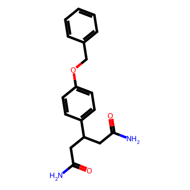 NC(=O)CC(CC(N)=O)c1ccc(OCc2ccccc2)cc1